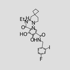 CCN1C(=O)c2c(O)c(=O)c(C(=O)NCc3ccc(F)cc3I)cn2N2CCC3(CCC3)C[C@@H]12